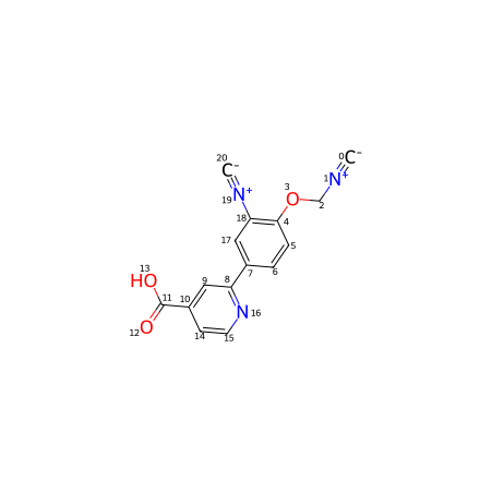 [C-]#[N+]COc1ccc(-c2cc(C(=O)O)ccn2)cc1[N+]#[C-]